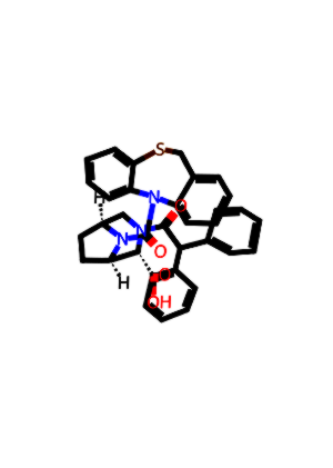 O=C(O)[C@@H]1[C@H]2CC[C@@H](CN1C(=O)C(c1ccccc1)c1ccccc1)N2C(=O)N1c2ccccc2CSc2ccccc21